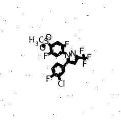 CS(=O)(=O)c1cc(F)c(-n2nc(C(F)(F)F)cc2-c2ccc(F)c(Cl)c2)cc1F